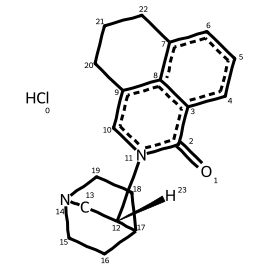 Cl.O=c1c2cccc3c2c(cn1[C@H]1CN2CCC1CC2)CCC3